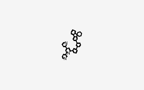 c1cncc(-c2cc(-c3cccnc3)nc(-c3cccc(-c4cccc(-c5ccc6c(c5)C5(CCCCC5)c5ccccc5-6)c4)c3)c2)c1